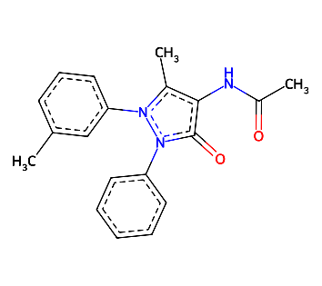 CC(=O)Nc1c(C)n(-c2cccc(C)c2)n(-c2ccccc2)c1=O